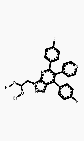 CCOC(Cn1ncc2c(-c3ccc(F)cc3)c(-c3ccncc3)c(-c3ccc(F)cc3)nc21)OCC